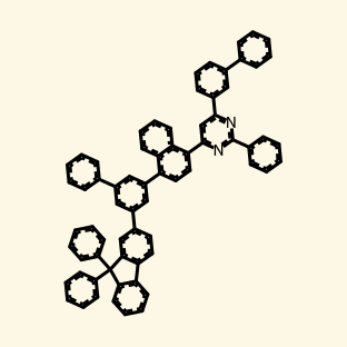 c1ccc(-c2cccc(-c3cc(-c4ccc(-c5cc(-c6ccccc6)cc(-c6ccc7c(c6)C(c6ccccc6)(c6ccccc6)c6ccccc6-7)c5)c5ccccc45)nc(-c4ccccc4)n3)c2)cc1